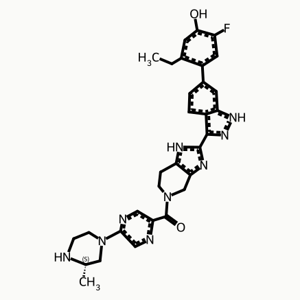 CCc1cc(O)c(F)cc1-c1ccc2c(-c3nc4c([nH]3)CCN(C(=O)c3cnc(N5CCN[C@@H](C)C5)cn3)C4)n[nH]c2c1